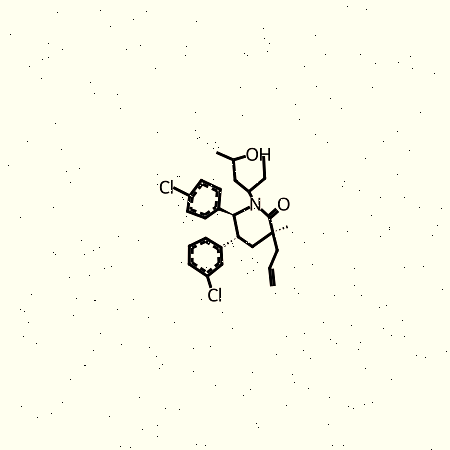 C=CC[C@@]1(C)C[C@H](c2cccc(Cl)c2)[C@@H](c2ccc(Cl)cc2)N(C(CC)CC(C)O)C1=O